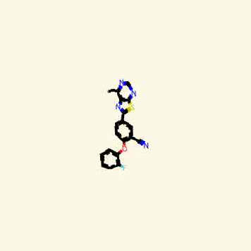 Cc1ncnc2sc(-c3ccc(Oc4ccccc4F)c(C#N)c3)nc12